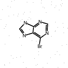 Brc1ncnc2c1N=C[N]2